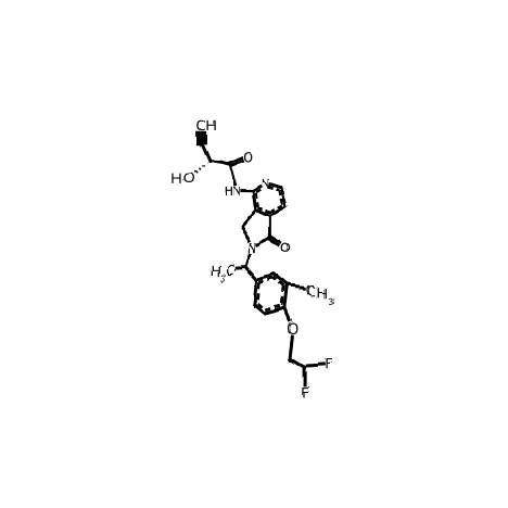 C#C[C@@H](O)C(=O)Nc1nccc2c1CN(C(C)c1ccc(OCC(F)F)c(C)c1)C2=O